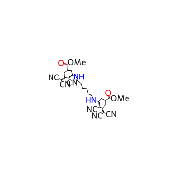 COC(=O)C1CC(NCCCCCCNC2=C(C#N)C(=C(C#N)C#N)CC(C(=O)OC)C2)=C(C#N)C(=C(C#N)C#N)C1